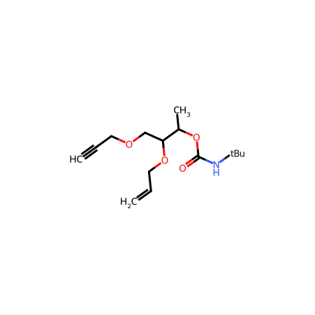 C#CCOCC(OCC=C)C(C)OC(=O)NC(C)(C)C